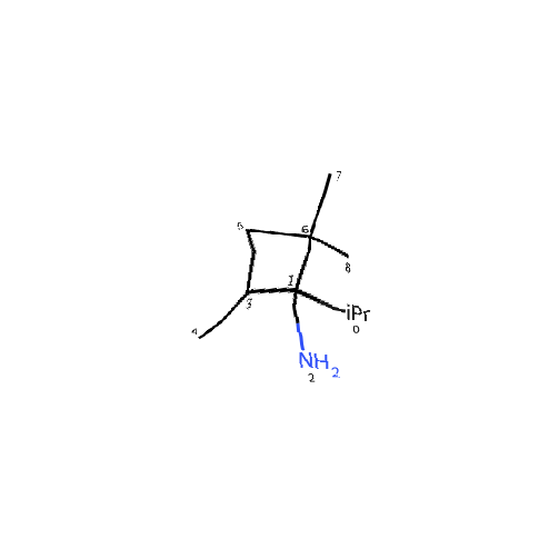 CC(C)C1(N)C(C)CC1(C)C